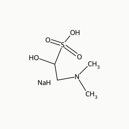 CN(C)CC(O)S(=O)(=O)O.[NaH]